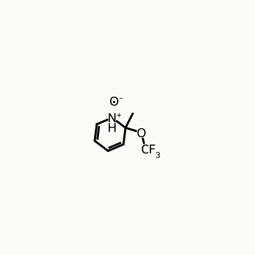 CC1(OC(F)(F)F)C=CC=C[NH+]1[O-]